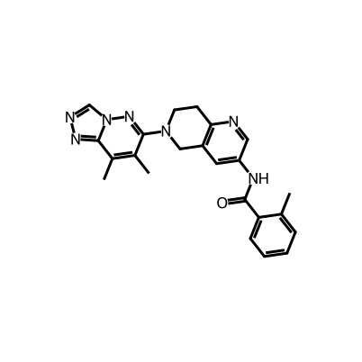 Cc1ccccc1C(=O)Nc1cnc2c(c1)CN(c1nn3cnnc3c(C)c1C)CC2